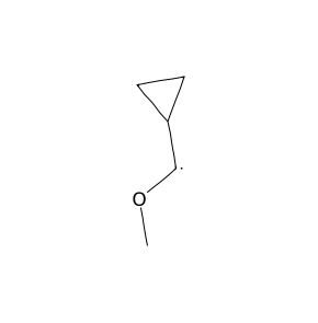 CO[CH]C1CC1